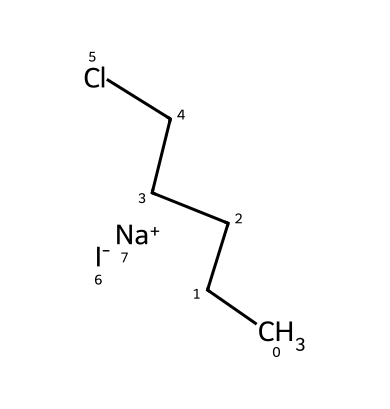 CCCCCCl.[I-].[Na+]